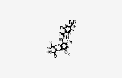 COc1cc(OC)c(CC(OC(C)C)C(=O)O)cc1CNC(=O)c1ccc(C(F)(F)F)cc1F